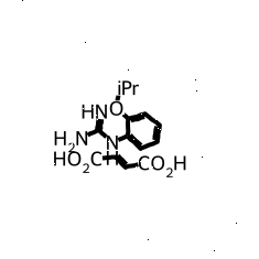 CC(C)Oc1ccccc1NC(=N)N.O=C(O)/C=C/C(=O)O